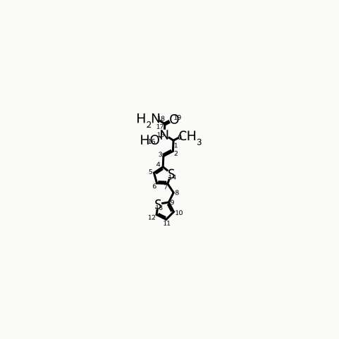 CC(C=Cc1ccc(Cc2cccs2)s1)N(O)C(N)=O